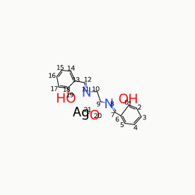 Oc1ccccc1C=NCCN=Cc1ccccc1O.[O]=[Ag]